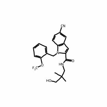 CC(C)(CO)CNC(=O)c1cc2cc(C#N)ccc2n1Cc1ccccc1OC(F)(F)F